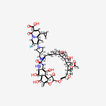 CO[C@H]1/C=C/O[C@@]2(C)Oc3c(C)c(O)c4c(O)c(c(/C=N/NCC5CCN(c6c(F)cn7c(=O)c(C(=O)O)cc(C8CC8)c7c6C)C5)c(O)c4c3C2=O)NC(=O)/C(C)=C\C=C\[C@H](C)[C@H](O)[C@@H](C)[C@@H](O)[C@@H](C)[C@H](OC(C)=O)[C@@H]1C